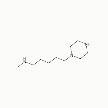 CNCCCCCN1CCNCC1